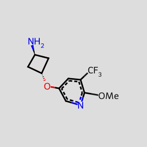 COc1ncc(O[C@H]2C[C@H](N)C2)cc1C(F)(F)F